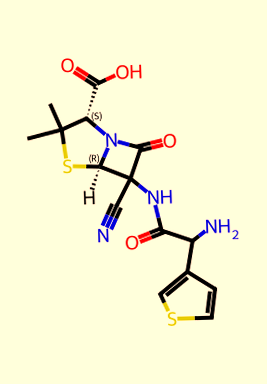 CC1(C)S[C@H]2N(C(=O)C2(C#N)NC(=O)C(N)c2ccsc2)[C@H]1C(=O)O